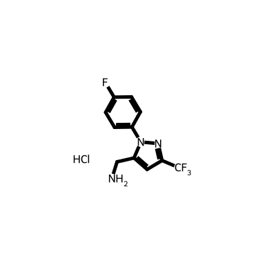 Cl.NCc1cc(C(F)(F)F)nn1-c1ccc(F)cc1